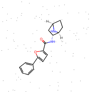 O=C(N[C@@H]1C[C@H]2CC[C@@H]1N2)c1ccc(-c2ccccc2)o1